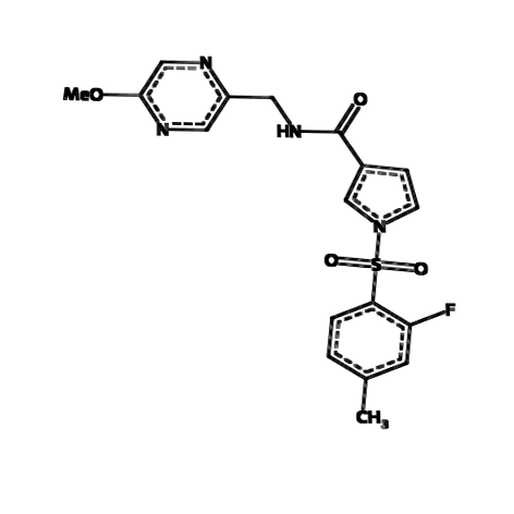 COc1cnc(CNC(=O)c2ccn(S(=O)(=O)c3ccc(C)cc3F)c2)cn1